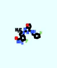 Cc1cc2c(C(N)=O)cc(F)cc2n1-c1nc(NCc2cccc(F)c2)c2c(n1)OCC2